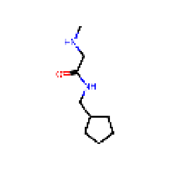 CNCC(=O)NCC1CCCC1